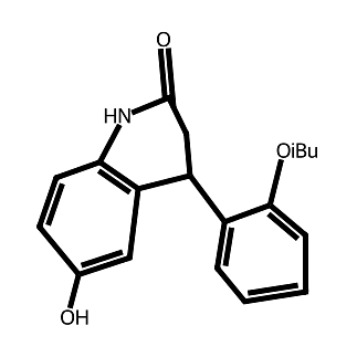 CC(C)COc1ccccc1C1CC(=O)Nc2ccc(O)cc21